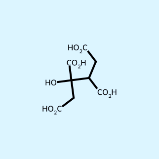 O=C(O)CC(C(=O)O)C(O)(CC(=O)O)C(=O)O